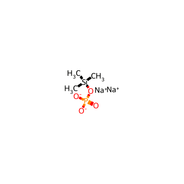 C[Si](C)(C)OP(=O)([O-])[O-].[Na+].[Na+]